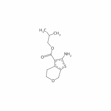 CC(C)COC(=O)c1c(N)sc2c1CCOC2